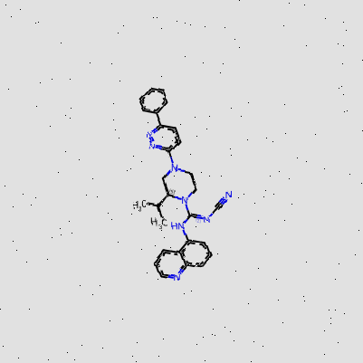 CC(C)[C@H]1CN(c2ccc(-c3ccccc3)nn2)CCN1/C(=N\C#N)Nc1cccc2ncccc12